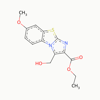 CCOC(=O)c1nc2sc3cc(OC)ccc3n2c1CO